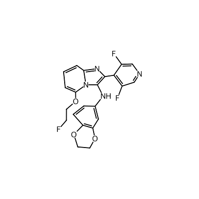 FCCOc1cccc2nc(-c3c(F)cncc3F)c(Nc3ccc4c(c3)OCCO4)n12